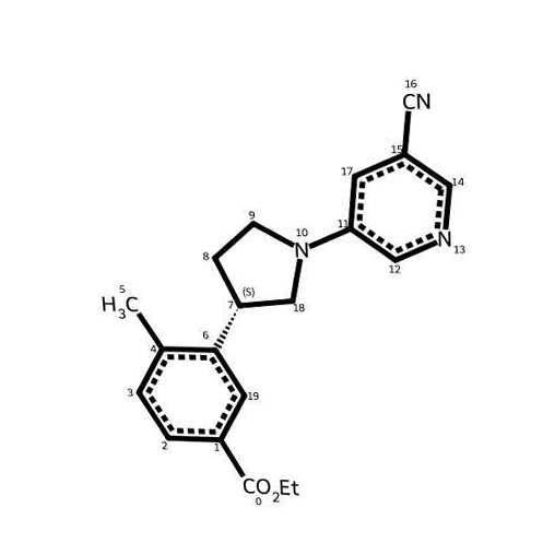 CCOC(=O)c1ccc(C)c([C@@H]2CCN(c3cncc(C#N)c3)C2)c1